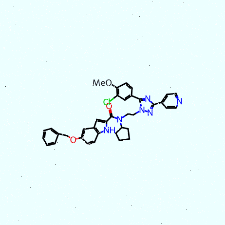 COc1ccc(-c2nc(-c3ccncc3)nn2CCN(C(=O)c2cc3cc(OCc4ccccc4)ccc3[nH]2)C2CCCC2)cc1Cl